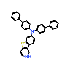 C1=Cc2sc3cc(N(c4ccc(-c5ccccc5)cc4)c4ccc(-c5ccccc5)cc4)ccc3c2CN1